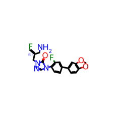 NC/C(=C\F)Cn1ncn(-c2ccc(-c3ccc4c(c3)OCO4)cc2F)c1=O